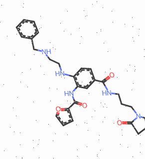 O=C(NCCCN1CCCC1=O)c1ccc(NCCNCc2ccccc2)c(NC(=O)c2ccco2)c1